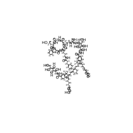 CC1(C)C(/C=C/C2=C(c3ccc(CCC(=O)NCCCCC4NC(=O)[C@@H](Cc5ccccc5)NC(=O)[C@H](CC(=O)O)NC(=O)CNC(=O)[C@H](CCCNC(=N)N)NC4=O)cc3)C(=C/C=C3/N(CCCCSOOO)c4ccc(C(=O)NCC(O)C(O)C(O)C(O)CO)cc4C3(C)C)/CCC2)=[N+](CCCCSOO[O-])c2ccc(C(=O)NCC(O)C(O)C(O)C(O)CO)cc21